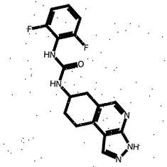 O=C(Nc1c(F)cccc1F)NC1CCc2c(cnc3[nH]ncc23)C1